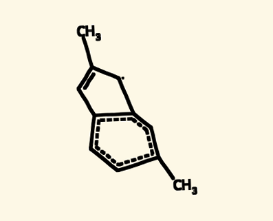 CC1=Cc2ccc(C)cc2[CH]1